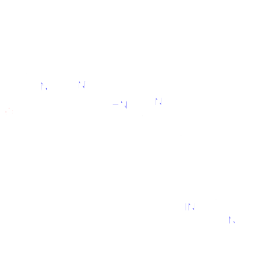 c1cc(CNc2ccc(Cc3c[nH]c4ncccc34)cn2)nc(N2CCOCC2)c1